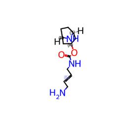 NC/C=C/CNC(=O)O[C@H]1C[C@H]2CC[C@@H](C1)N2